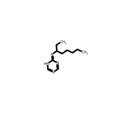 CCCCCC(CC)N=c1ncnc[nH]1